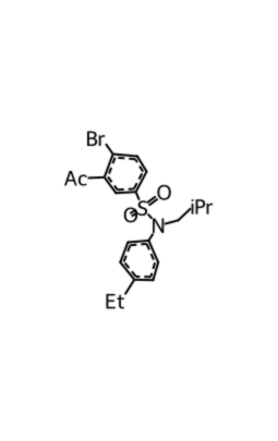 CCc1ccc(N(CC(C)C)S(=O)(=O)c2ccc(Br)c(C(C)=O)c2)cc1